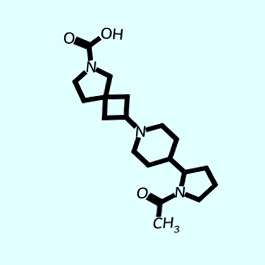 CC(=O)N1CCCC1C1CCN(C2CC3(CCN(C(=O)O)C3)C2)CC1